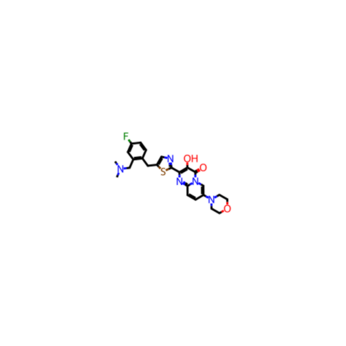 CN(C)Cc1cc(F)ccc1Cc1cnc(-c2nc3ccc(N4CCOCC4)cn3c(=O)c2O)s1